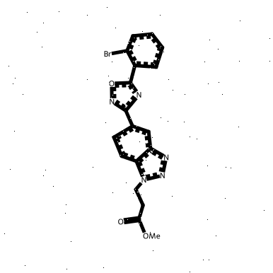 COC(=O)CCn1nnc2cc(-c3noc(-c4ccccc4Br)n3)ccc21